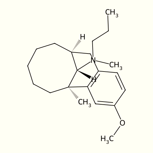 CCCN(C)[C@H]1[C@H]2CCCCC[C@]1(C)c1cc(OC)ccc1C2